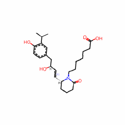 CC(C)c1cc(C[C@H](O)/C=C/[C@H]2CCCC(=O)N2CCCCCCC(=O)O)ccc1O